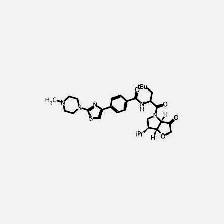 CC(C)[C@H]1CN(C(=O)C(CC(C)(C)C)NC(=O)c2ccc(-c3csc(N4CCN(C)CC4)n3)cc2)[C@@H]2C(=O)CO[C@H]12